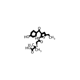 CCc1cc(C(=O)c2ccc(O)cc2)c(NC(=O)CSC(C)(C)C(=O)O)s1